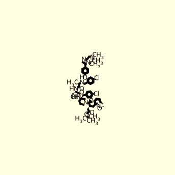 C[C@H](NCc1ccc(Cl)cc1Oc1ccc(-c2cnc(CN(C)C)n2C)cc1)C(=O)N[C@@H](CO)C(=O)N[C@@]1(Cc2ccc(Cl)cc2)CCCN(C(=O)[C@@H](CC(=O)OC(C)(C)C)Cc2cccc[n+]2[O-])C1